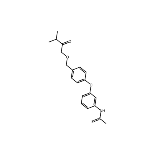 CC(C)C(=O)COCc1ccc(Oc2cccc(NS(C)=S)c2)cc1